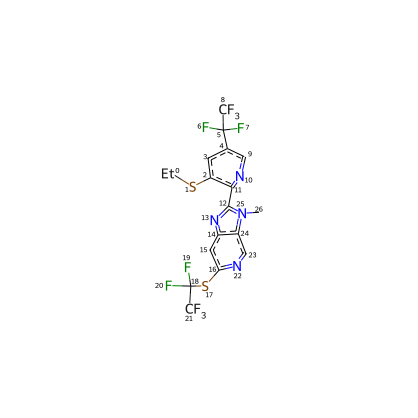 CCSc1cc(C(F)(F)C(F)(F)F)cnc1-c1nc2cc(SC(F)(F)C(F)(F)F)ncc2n1C